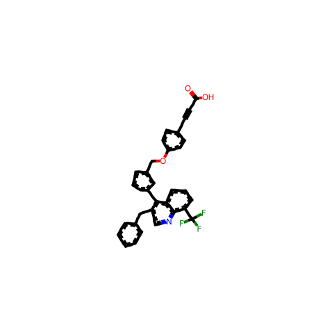 O=C(O)C#Cc1ccc(OCc2cccc(-c3c(Cc4ccccc4)cnc4c(C(F)(F)F)cccc34)c2)cc1